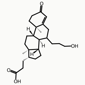 C[C@]12CC[C@H]3[C@@H](C(CCCO)CC4=CC(=O)CC[C@@]43C)[C@@H]1CC[C@@H]2CCC(=O)O